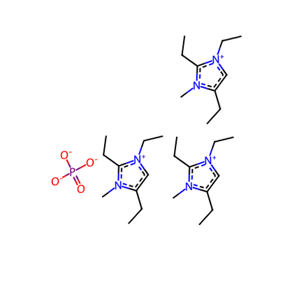 CCc1c[n+](CC)c(CC)n1C.CCc1c[n+](CC)c(CC)n1C.CCc1c[n+](CC)c(CC)n1C.O=P([O-])([O-])[O-]